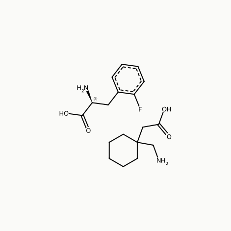 NCC1(CC(=O)O)CCCCC1.N[C@@H](Cc1ccccc1F)C(=O)O